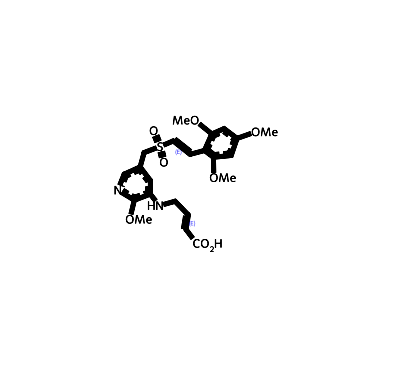 COc1cc(OC)c(/C=C/S(=O)(=O)Cc2cnc(OC)c(NC/C=C/C(=O)O)c2)c(OC)c1